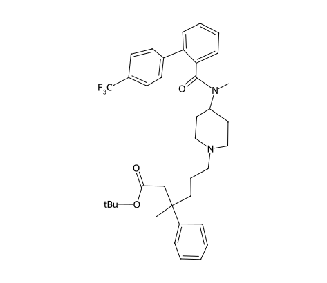 CN(C(=O)c1ccccc1-c1ccc(C(F)(F)F)cc1)C1CCN(CCCC(C)(CC(=O)OC(C)(C)C)c2ccccc2)CC1